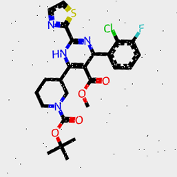 COC(=O)C1=C(C2CCCN(C(=O)OC(C)(C)C)C2)NC(c2nccs2)=NC1c1cccc(F)c1Cl